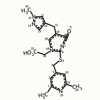 Cc1cc(CSc2nc(=O)c(Cc3cnn(C)c3)cn2CC(=O)O)cc(C)n1